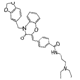 O=C(NCCCN1CCCCCC1)c1ccc(/C=C2\Oc3ccccc3N(Cc3ccc4c(c3)OCO4)C2=O)cc1